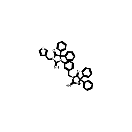 N=C1NC(c2ccccc2)(c2ccccc2)C(=O)N1Cc1cccc(N2C(=N)N(Cc3ccsc3)C(=O)C2(c2ccccc2)c2ccccc2)c1